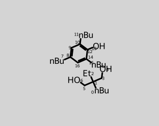 CCCCC(CC)(CO)CO.CCCCc1cc(CCCC)c(O)c(CCCC)c1